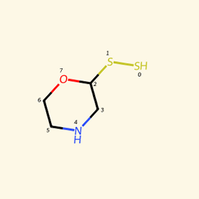 SSC1CNCCO1